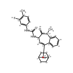 Cc1ccc(NC(=O)NC2N=C(N3CC4CCC(CC4)C3)c3ccccc3N(C)C2=O)cc1F